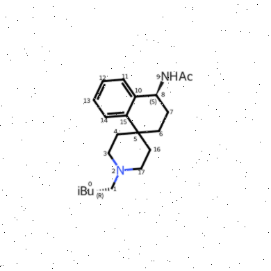 CC[C@@H](C)CN1CCC2(CC[C@H](NC(C)=O)c3ccccc32)CC1